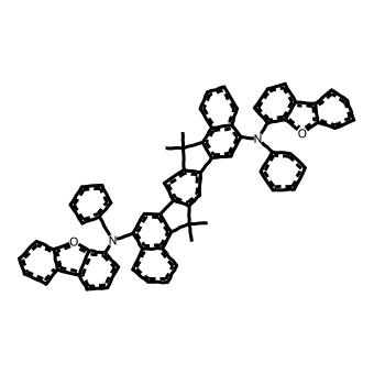 CC1(C)c2cc3c(cc2-c2cc(N(c4ccccc4)c4cccc5c4oc4ccccc45)c4ccccc4c21)C(C)(C)c1c-3cc(N(c2ccccc2)c2cccc3c2oc2ccccc23)c2ccccc12